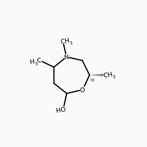 CC1CC(O)O[C@@H](C)CN1C